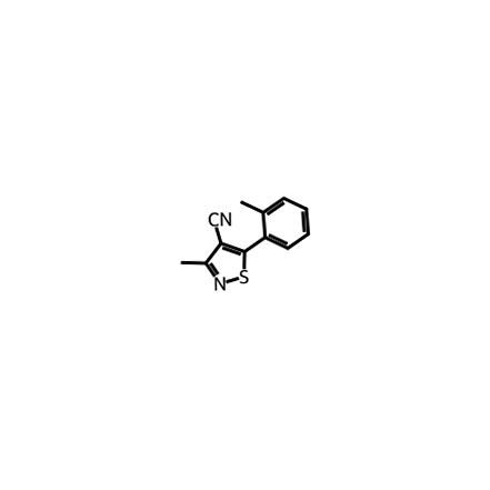 Cc1ccccc1-c1snc(C)c1C#N